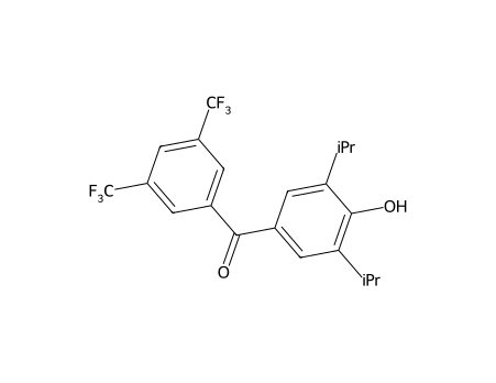 CC(C)c1cc(C(=O)c2cc(C(F)(F)F)cc(C(F)(F)F)c2)cc(C(C)C)c1O